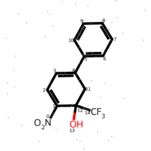 O=[N+]([O-])C1=CC=C(c2ccccc2)CC1(O)C(F)(F)F